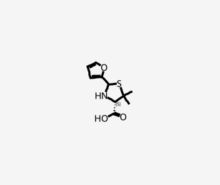 CC1(C)SC(c2ccco2)N[C@H]1C(=O)O